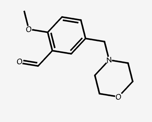 COc1ccc(CN2CCOCC2)cc1C=O